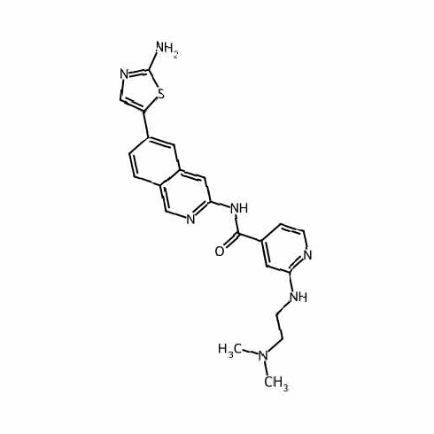 CN(C)CCNc1cc(C(=O)Nc2cc3cc(-c4cnc(N)s4)ccc3cn2)ccn1